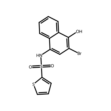 O=S(=O)(Nc1cc(Br)c(O)c2ccccc12)c1cccs1